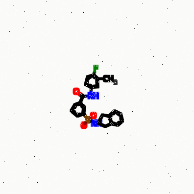 Cc1cc(NC(=O)c2cccc(S(=O)(=O)NC3Cc4ccccc4C3)c2)ccc1F